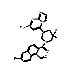 Cc1cc(C2CN(C(=O)c3ccc4cc(F)ccc4c3C=O)CC(F)(F)C2)n2ncnc2n1